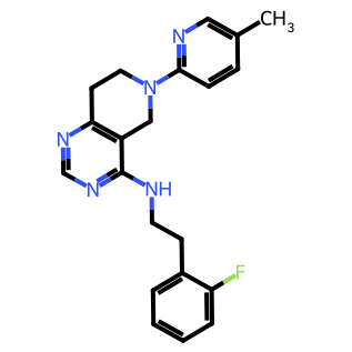 Cc1ccc(N2CCc3ncnc(NCCc4ccccc4F)c3C2)nc1